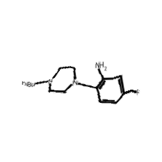 CCCCN1CCN(c2ccc(F)cc2N)CC1